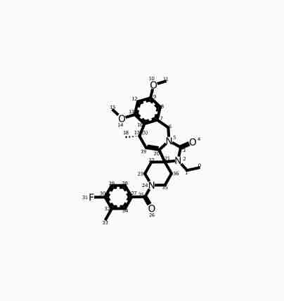 CCN1C(=O)N2Cc3cc(OC)cc(OC)c3[C@@H](C)C=C2C12CCN(C(=O)c1ccc(F)c(C)c1)CC2